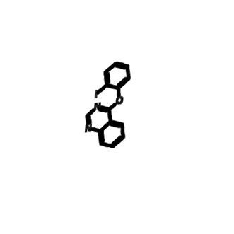 Ic1ccccc1Oc1ncnc2ccccc12